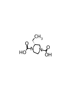 CC[C@@H]1CN(C(=O)O)CCN1C(=O)O